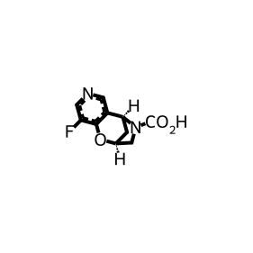 O=C(O)N1C[C@@H]2C[C@H]1c1cncc(F)c1O2